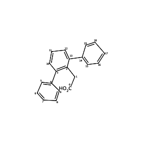 O=C(O)Cc1c(-c2ccccc2)cccc1-c1ccccc1